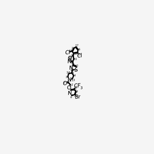 O=C(COc1ncc(Br)cc1C(F)(F)F)N1CCC(c2nc(C3=NOC(c4c(Cl)cccc4Cl)C3)cs2)CC1